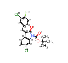 CC(C)(C)OC(=O)N1C(=O)C(=Cc2ccc(F)c(Cl)c2)c2ccc(Cl)cc21